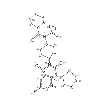 CC(=O)N(C(=O)C1CCCNC1)C1CCC(n2c(=O)c3cc(F)cnc3n(C3CCSCC3)c2=O)CC1